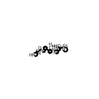 Cc1c(Nc2nccc3cc(CN4CCCCC5S[C@]54C(=O)O)cnc23)cccc1-c1cccc2c1CCN2C(=O)c1nc2c(s1)CNCC2